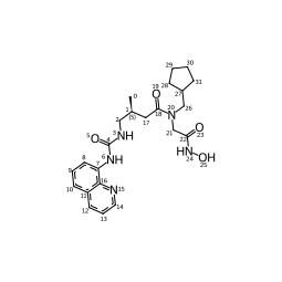 C[C@H](CNC(=O)Nc1cccc2cccnc12)CC(=O)N(CC(=O)NO)CC1CCCC1